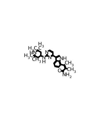 CC(C(N)=O)=C(C)c1cccc2c(-c3ccnc(NC4CC(C)(C)NC(C)(C)C4)n3)c[nH]c12